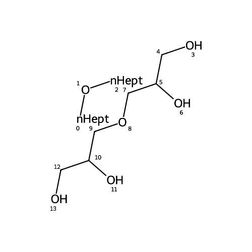 CCCCCCCOCCCCCCC.OCC(O)COCC(O)CO